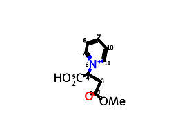 COC(=O)CC(C(=O)O)[n+]1ccccc1